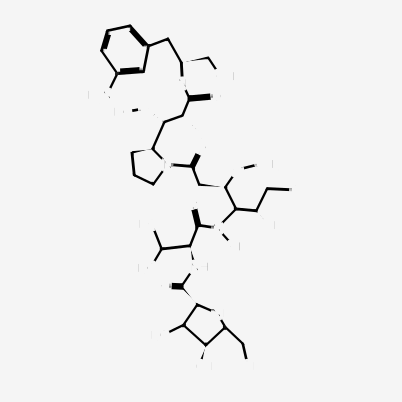 CCC1N[C@H](C(=O)N[C@H](C(=O)N(C)C([C@@H](C)CC)[C@@H](CC(=O)N2CCC[C@H]2[C@H](OC)[C@@H](C)C(=O)N[C@H](CO)Cc2cccc(N)c2)OC)C(C)C)C(C)[C@@H]1C